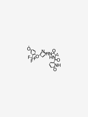 COc1ccc(Oc2ccc(CNC(=O)C3(NC(=O)c4cccc(=O)[nH]4)CC3)nc2)c(C(F)(F)F)c1